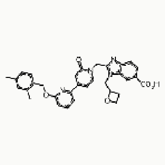 Cc1ccc(COc2cccc(-c3ccn(Cc4nc5ccc(C(=O)O)cc5n4CC4CCO4)c(=O)c3)n2)c(C)c1